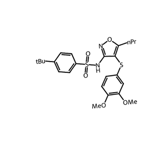 CCCc1onc(NS(=O)(=O)c2ccc(C(C)(C)C)cc2)c1Sc1ccc(OC)c(OC)c1